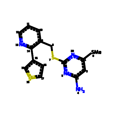 CSc1cc(N)nc(SCc2cccnc2-c2ccsc2)n1